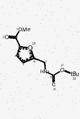 COC(=O)c1ccc(CNC(=O)OC(C)(C)C)o1